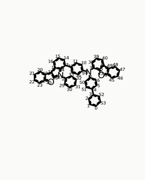 c1ccc(-c2ccc(N(c3ccc(-c4cccc5c6c7ccccc7oc6n(-c6ccccc6)c45)cc3)c3cccc4c3oc3ccccc34)cc2)cc1